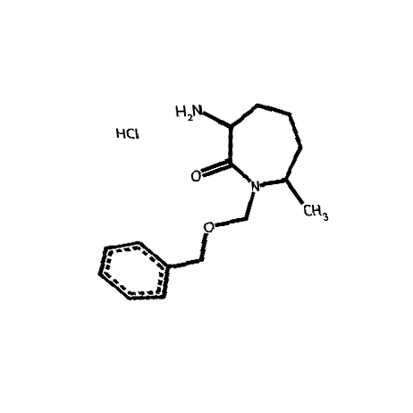 CC1CCCC(N)C(=O)N1COCc1ccccc1.Cl